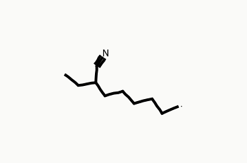 [CH2]CCCCCC(C#N)CC